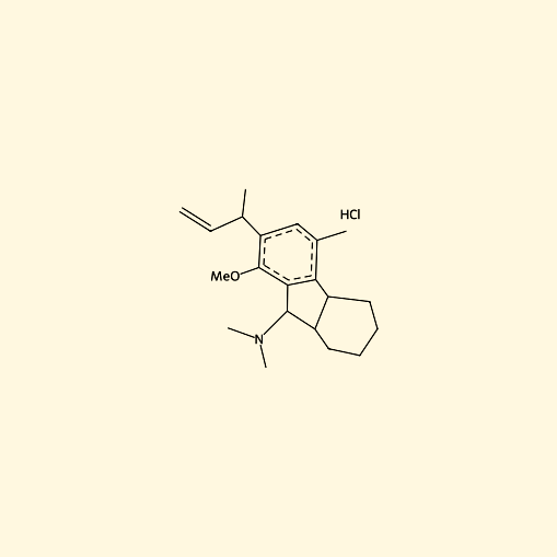 C=CC(C)c1cc(C)c2c(c1OC)C(N(C)C)C1CCCCC21.Cl